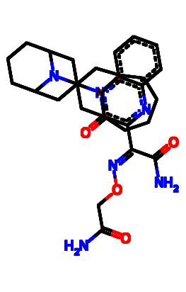 NC(=O)CO/N=C(\C(N)=O)c1nc2ccccc2n(C2CC3CCCC(C2)N3C2CC3CCCCC(C3)C2)c1=O